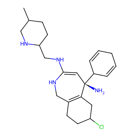 CC1CCC(CNC2=C[C@](N)(C3C=CCC=C3)C3=C(CCC(Cl)C3)CN2)NC1